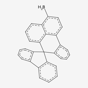 Bc1ccc2c3c(cccc13)C1(c3ccccc3-c3ccccc31)c1ccccc1-2